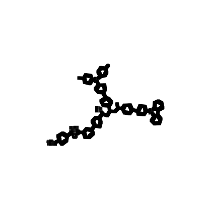 CCC(CC(CC(C)c1ccc(-c2ccc(-n3c4ccccc4c4ccccc43)cc2)cc1)c1ccc(-c2ccc(N(c3ccc(C)cc3)c3ccc(C)cc3)cc2)cc1)c1ccc(-c2cccc(-c3nnc(-c4ccc(C(C)(C)C)cc4)o3)c2)cc1